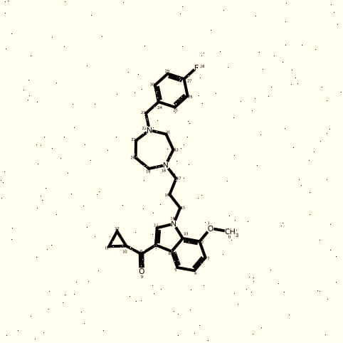 COc1cccc2c(C(=O)C3CC3)cn(CCCN3CCCN(Cc4ccc(F)cc4)CC3)c12